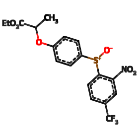 CCOC(=O)C(C)Oc1ccc([S+]([O-])c2ccc(C(F)(F)F)cc2[N+](=O)[O-])cc1